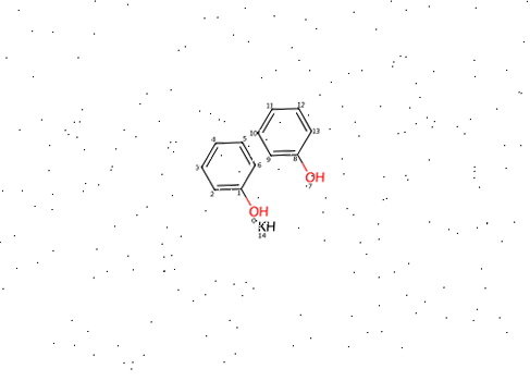 Oc1ccccc1.Oc1ccccc1.[KH]